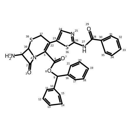 NC1C(=O)N2C(C(=O)OC(c3ccccc3)c3ccccc3)=C(c3cnc(NC(=O)c4ccccc4)s3)CSC12